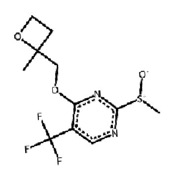 C[S+]([O-])c1ncc(C(F)(F)F)c(OCC2(C)CCO2)n1